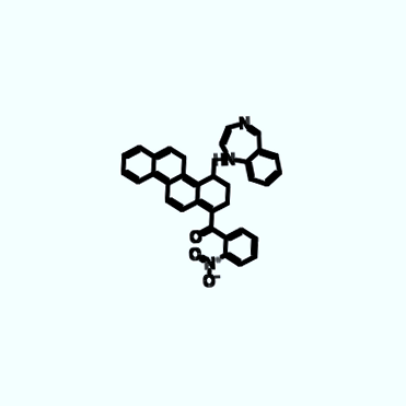 C1=CNc2ccccc2C=N1.CC1CCC(C(=O)c2ccccc2[N+](=O)[O-])=c2ccc3c(c21)CC=c1ccccc1=3